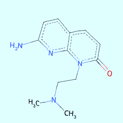 CN(C)CCn1c(=O)ccc2ccc(N)nc21